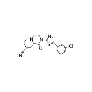 N#CN1CCN2CCN(c3ncc(-c4cccc(Cl)c4)s3)C(=O)C2C1